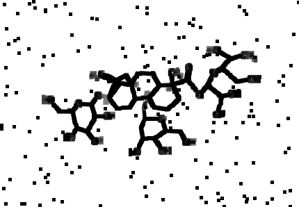 C=C1C[C@@]23CCC4[C@@](CC5CC(O)C(O)C(CO)O5)(CCC[C@@]4(C)C(=O)OC(OC(CO)C(C)O)C(O)O)C2CC[C@]1(OC1OC(CO)C(O)C(O)C1O)C3